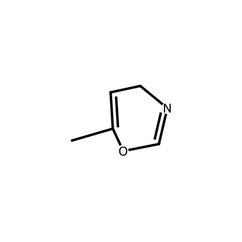 CC1=CCN=CO1